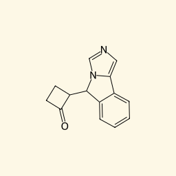 O=C1CCC1C1c2ccccc2-c2cncn21